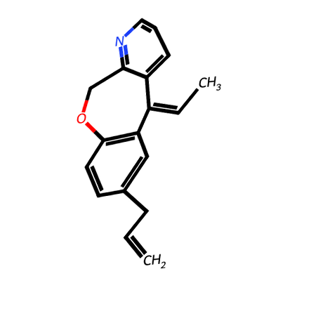 C=CCc1ccc2c(c1)/C(=C/C)c1cccnc1CO2